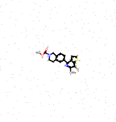 COc1nc(-c2ccc3c(c2)CCN(C(=O)OC(C)(C)C)C3)c2ccsc2c1Br